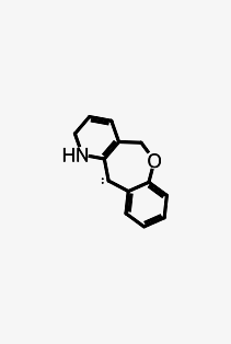 [C]1C2=C(C=CCN2)COc2ccccc21